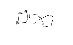 CC1(Cn2cncn2)CCCC1